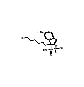 Nc1ccc2c(c1)C(CCCCCCO)(P(=O)(O)P(=O)(O)O)C=C2